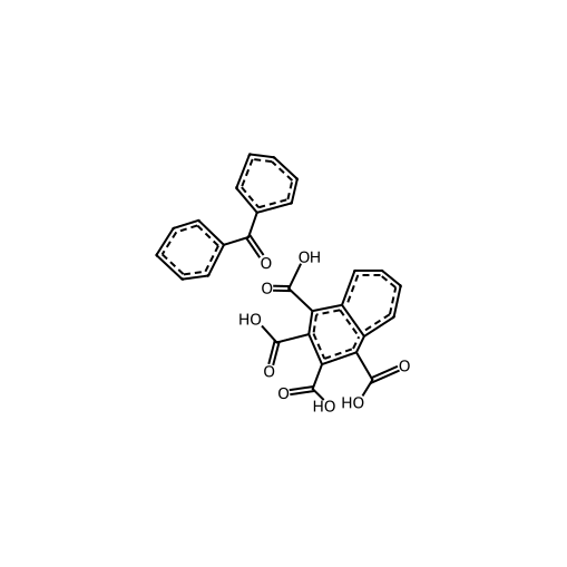 O=C(O)c1c(C(=O)O)c(C(=O)O)c2ccccc2c1C(=O)O.O=C(c1ccccc1)c1ccccc1